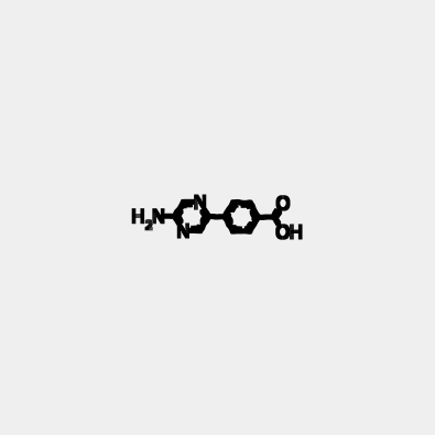 Nc1cnc(-c2ccc(C(=O)O)cc2)cn1